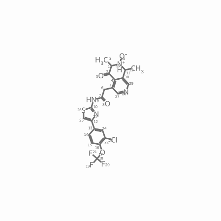 CC1C(=O)c2c(CC(=O)Nc3nc(-c4ccc(OC(F)(F)F)c(Cl)c4)cs3)cncc2C(C)[NH+]1[O-]